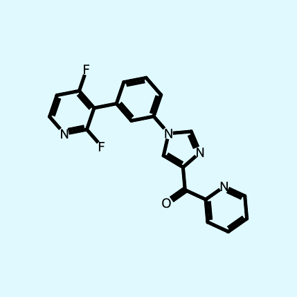 O=C(c1ccccn1)c1cn(-c2cccc(-c3c(F)ccnc3F)c2)cn1